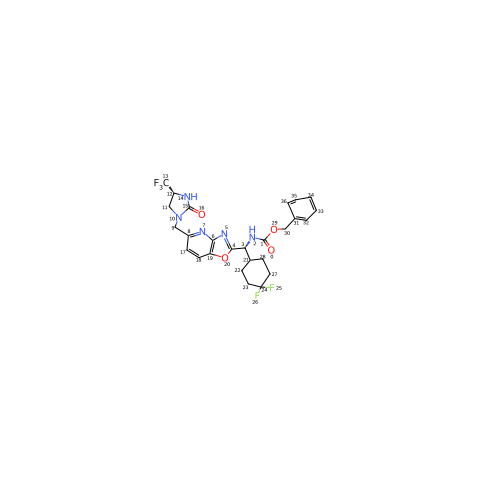 O=C(N[C@H](c1nc2nc(CN3C[C@@H](C(F)(F)F)NC3=O)ccc2o1)C1CCC(F)(F)CC1)OCc1ccccc1